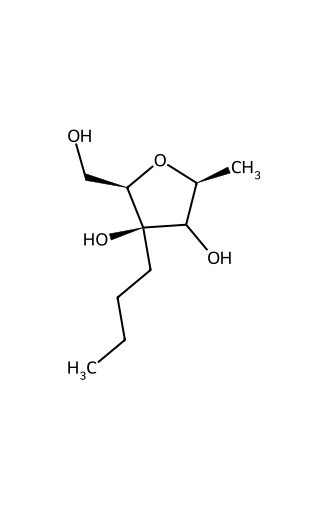 CCCC[C@@]1(O)C(O)[C@H](C)O[C@@H]1CO